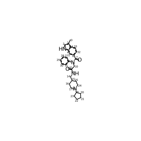 Cc1c[nH]c2cc(C(=O)N(CC(=O)NCC3CCN(C4CCCC4)CC3)c3ccccc3)ccc12